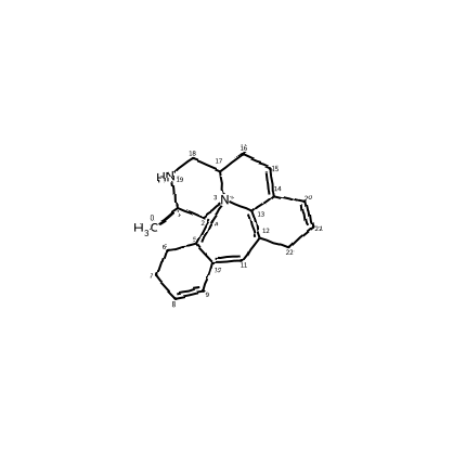 CC1C[N+]23C=C4CCC=CC4=CC4=C2C(=CCC3CN1)C=CC4